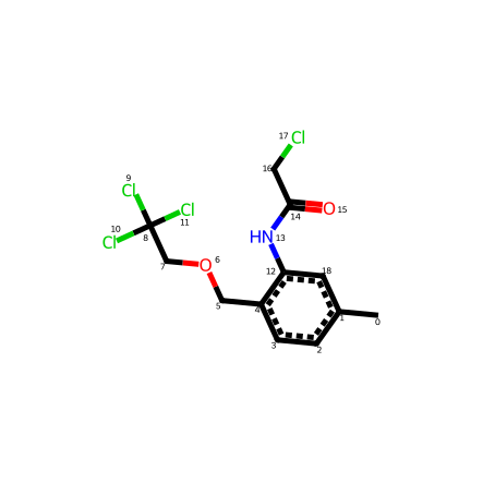 Cc1ccc(COCC(Cl)(Cl)Cl)c(NC(=O)CCl)c1